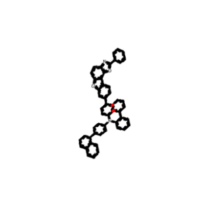 c1ccc(-c2nc3ccc4oc5cc(-c6ccc(N(c7ccc(-c8cccc9ccccc89)cc7)c7ccccc7-c7ccccc7)cc6)ccc5c4c3o2)cc1